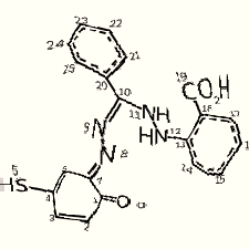 O=C1C=CC(S)=C/C1=N\N=C(/NNc1ccccc1C(=O)O)c1ccccc1